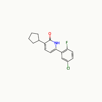 O=c1[nH]c(-c2cc(Cl)ccc2F)ccc1C1CCCC1